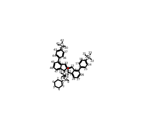 C[Si](C1CCCCC1)=[Hf]([CH3])([CH3])([CH]1C=Cc2c(-c3ccc([Si](C)(C)C)cc3)cccc21)[CH]1C=Cc2c(-c3ccc([Si](C)(C)C)cc3)cccc21